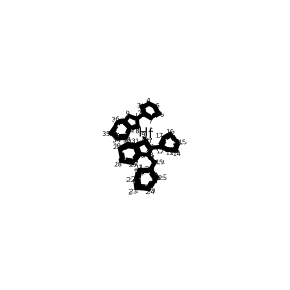 C1=C(c2ccccc2)[CH]([Hf][C]2=C(c3ccccc3)C(Cc3ccccc3)c3ccccc32)c2ccccc21